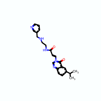 CC(C)c1ccc2ncn(/C=C/C(=O)NCCNCc3cccnc3)c(=O)c2c1